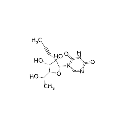 CC#CC1(O)[C@@H](O)[C@@H]([C@H](C)O)O[C@H]1n1cnc(=O)[nH]c1=O